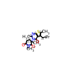 Cc1sc2nc(C)n(C3(C)CCC(=O)N(C)C3=O)c(=O)c2c1CC(C)C